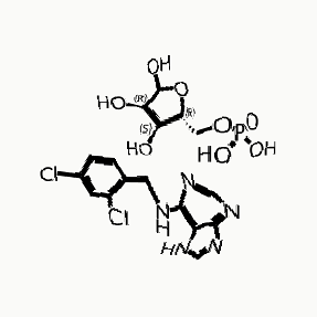 Clc1ccc(CNc2ncnc3nc[nH]c23)c(Cl)c1.O=P(O)(O)OC[C@H]1OC(O)[C@H](O)[C@@H]1O